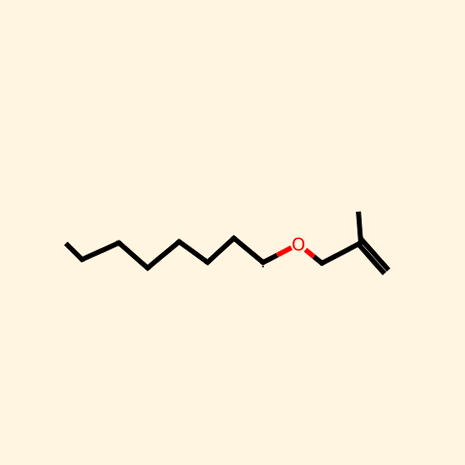 C=C(C)CO[CH]CCCCCCC